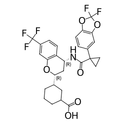 O=C(O)C1CCCC([C@H]2C[C@@H](NC(=O)C3(c4ccc5c(c4)OC(F)(F)O5)CC3)c3ccc(C(F)(F)F)cc3O2)C1